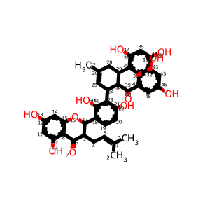 CC(C)=CCC1C(=O)c2c(O)cc(O)cc2OC1c1ccc(O)c(C2C=C(C)CC(c3ccc(O)cc3O)C2C(=O)c2cc(O)cc(O)c2)c1O